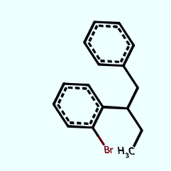 CCC(Cc1ccccc1)c1ccccc1Br